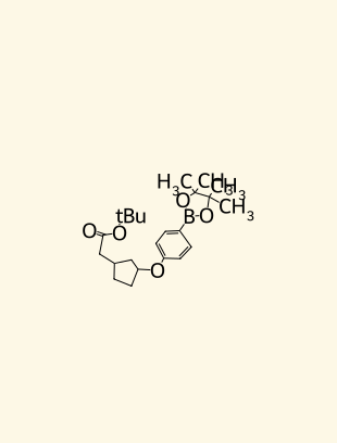 CC(C)(C)OC(=O)CC1CCC(Oc2ccc(B3OC(C)(C)C(C)(C)O3)cc2)C1